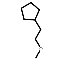 COC[CH]C1CCCC1